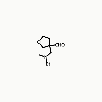 CCN(C)CC1(C=O)CCOC1